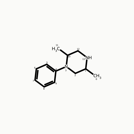 CC1CN(c2ccccc2)C(C)CN1